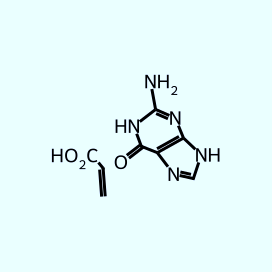 C=CC(=O)O.Nc1nc2[nH]cnc2c(=O)[nH]1